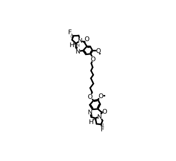 COc1cc2c(cc1OCCCCCCCCOc1cc3c(cc1OC)C(=O)N1C[C@@H](F)C[C@H]1C=N3)N=C[C@@H]1C[C@H](F)CN1C2=O